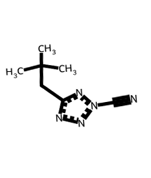 CC(C)(C)Cc1nnn(C#N)n1